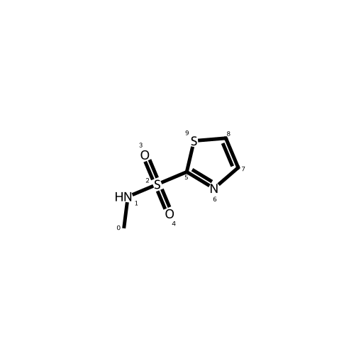 CNS(=O)(=O)c1nccs1